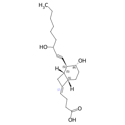 CCCCCCC(O)C#C[C@@H]1[C@H]2C/C(=C/CCC(=O)O)[C@H]2CC[C@H]1O